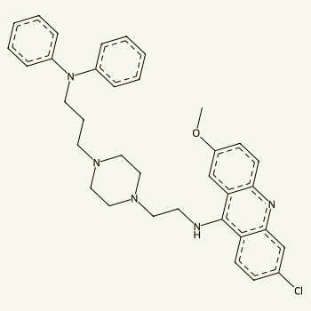 COc1ccc2nc3cc(Cl)ccc3c(NCCN3CCN(CCCN(c4ccccc4)c4ccccc4)CC3)c2c1